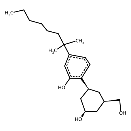 CCCCCCC(C)(C)c1ccc([C@@H]2C[C@H](O)C[C@H](CO)C2)c(O)c1